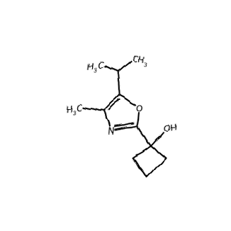 Cc1nc(C2(O)CCC2)oc1C(C)C